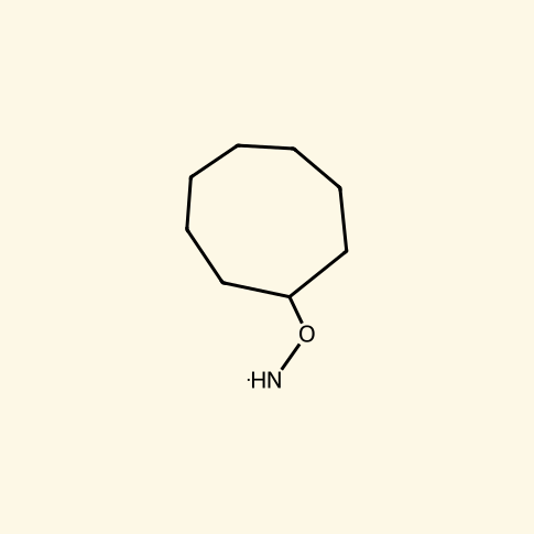 [NH]OC1CCCCCCC1